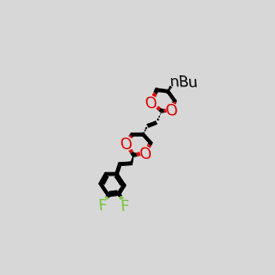 CCCC[C@H]1CO[C@H](CC[C@H]2CO[C@H](CCc3ccc(F)c(F)c3)OC2)OC1